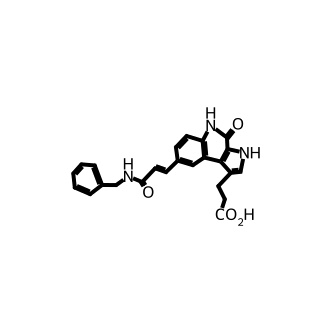 O=C(O)CCc1c[nH]c2c(=O)[nH]c3ccc(C=CC(=O)NCc4ccccc4)cc3c12